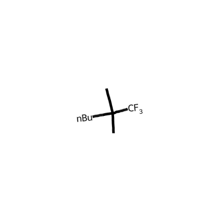 C[CH]CCC(C)(C)C(F)(F)F